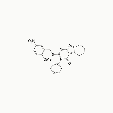 COc1ccc([N+](=O)[O-])cc1CSc1nc2sc3c(c2c(=O)n1-c1ccccc1)CCCC3